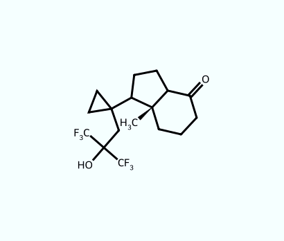 C[C@]12CCCC(=O)C1CCC2C1(CC(O)(C(F)(F)F)C(F)(F)F)CC1